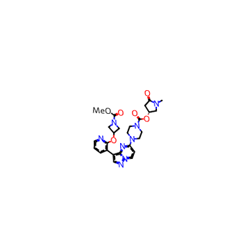 COC(=O)N1CC(Oc2ncccc2-c2cnn3ccc(N4CCN(C(=O)O[C@@H]5CC(=O)N(C)C5)CC4)nc23)C1